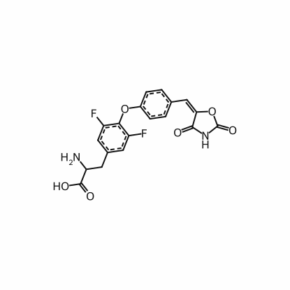 NC(Cc1cc(F)c(Oc2ccc(C=C3OC(=O)NC3=O)cc2)c(F)c1)C(=O)O